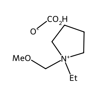 CC[N+]1(COC)CCCC1.O=C([O-])O